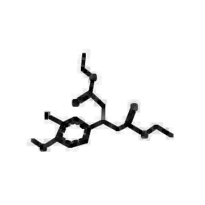 CCOC(=O)CC(CC(=O)OCC)c1ccc(OC)c(F)c1